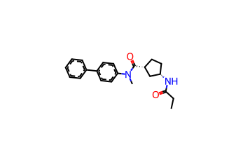 CCC(=O)N[C@H]1CC[C@@H](C(=O)N(C)c2ccc(-c3ccccc3)cc2)C1